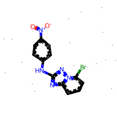 O=[N+]([O-])c1ccc(Nc2nc3cccc(Br)n3n2)cc1